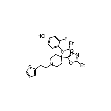 CCC(=O)N(c1ccccc1F)C1(c2nnc(CC)o2)CCN(CCc2cccs2)CC1.Cl